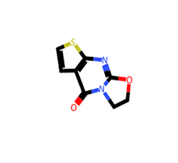 O=c1c2ccsc2nc2n1CCO2